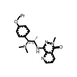 CC(C)Oc1ccc([C@@H]([C@H](C)Nc2nn(C)c(=O)c3cccnc23)N(C)C)cc1